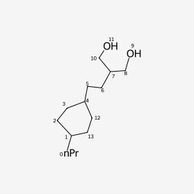 CCCC1CCC(CCC(CO)CO)CC1